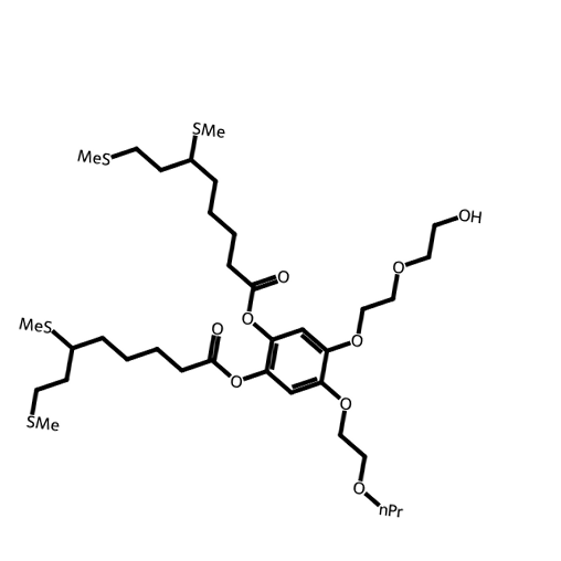 CCCOCCOc1cc(OC(=O)CCCCC(CCSC)SC)c(OC(=O)CCCCC(CCSC)SC)cc1OCCOCCO